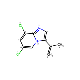 C=C(C)c1cnc2c(Cl)cc(Cl)cn12